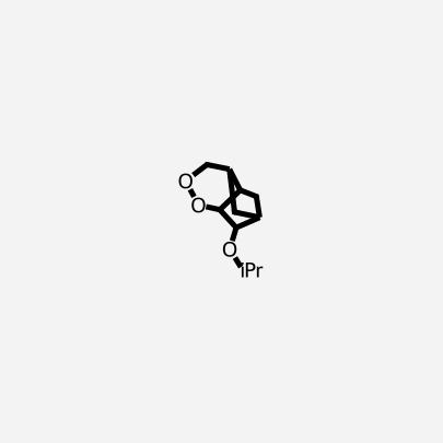 CC(C)OC1C2CC3COOC1C3C2